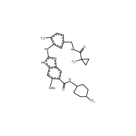 COc1cc2[nH]c(Nc3cc(CNC(=O)C4(C(F)(F)F)CC4)ccc3C(F)(F)F)nc2cc1C(=O)NC1CCC(C(F)(F)F)CC1